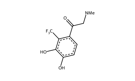 CNCC(=O)c1ccc(O)c(O)c1C(F)(F)F